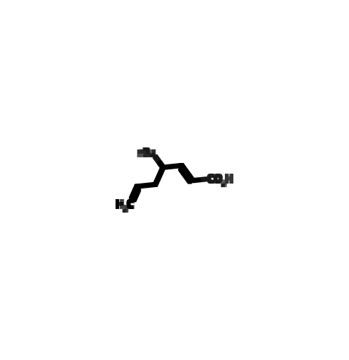 C=CCC(C=CC(=O)O)CCCC